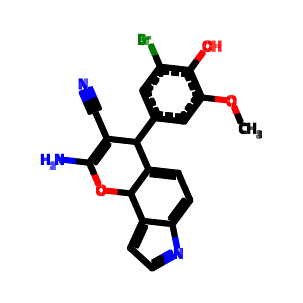 COc1cc(C2C3=CC=C4N=CC=C4C3OC(N)=C2C#N)cc(Br)c1O